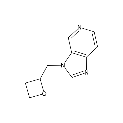 c1cc2ncn(CC3CCO3)c2cn1